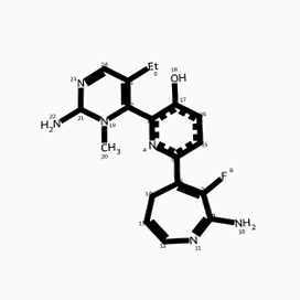 CCC1=C(c2nc(C3=C(F)C(N)=NC=CC3)ccc2O)N(C)C(N)N=C1